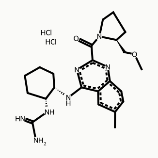 COC[C@@H]1CCCN1C(=O)c1nc(N[C@H]2CCCC[C@H]2NC(=N)N)c2cc(C)ccc2n1.Cl.Cl